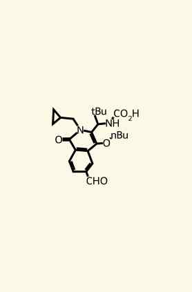 CCCCOc1c(C(NC(=O)O)C(C)(C)C)n(CC2CC2)c(=O)c2ccc(C=O)cc12